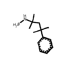 BNC(C)(C)CC(C)(C)c1ccccc1